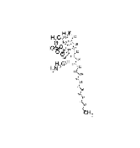 CCCCCCCCCCCCCCCCCC(CCCC)C(CCCC)(CCCC)C(=O)OS(=O)(=O)O.N